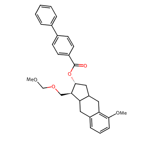 COCOC[C@@H]1C2Cc3cccc(OC)c3CC2C[C@H]1OC(=O)c1ccc(-c2ccccc2)cc1